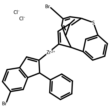 Brc1ccc2c(c1)C(c1ccccc1)[C]([Zr+2][C]1=Cc3c4cc(Br)cc3C1c1cccc(c1)S4)=C2.[Cl-].[Cl-]